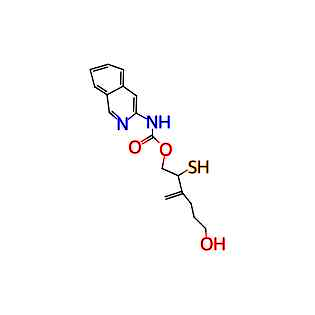 C=C(CCCO)C(S)COC(=O)Nc1cc2ccccc2cn1